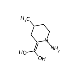 CC1CCN(N)C(=C(O)O)C1